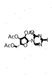 CC(=O)OC[C@H]1O[C@@H](n2cnc(I)nc2=O)[C@H](OC(C)=O)[C@@H]1OC(C)=O